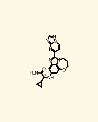 NC(=O)[C@@H](Nc1cc2c3c(c1)nc(-c1ccn4ncnc4n1)n3CCCO2)C1CC1